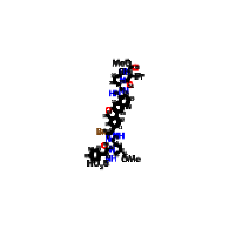 COC[C@H]1C[C@@H](c2nc(Br)c(-c3ccc4c(c3)COc3cc5c(ccc6nc([C@@H]7CC[C@H](C)N7C(=O)[C@@H](NC(=O)OC)C(C)C)[nH]c65)cc3-4)[nH]2)N(C(=O)[C@H](NC(=O)O)c2ccccc2)C1